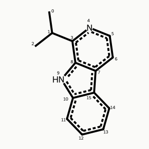 CC(C)c1nccc2c1[nH]c1ccccc12